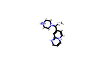 CC(C1=CC2=NCC=CN2C=C1)N1CCNCC1